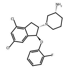 N[C@@H]1CCCN([C@H]2Cc3c(Cl)cc(Cl)cc3[C@@H]2Oc2ccccc2F)C1